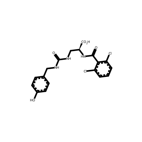 O=C(NCc1ccc(O)cc1)NC[C@H](NC(=O)c1c(Cl)cccc1Cl)C(=O)O